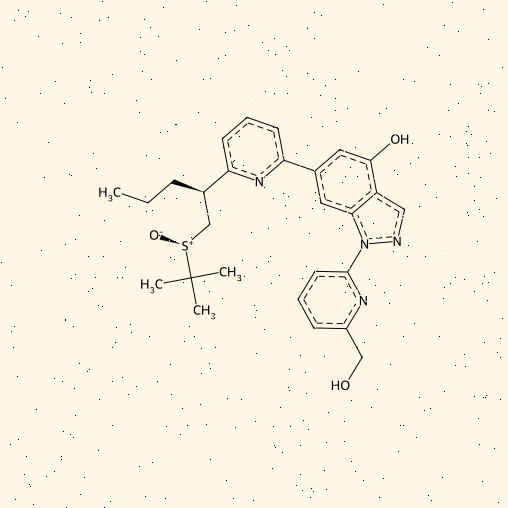 CCC[C@H](C[S@+]([O-])C(C)(C)C)c1cccc(-c2cc(O)c3cnn(-c4cccc(CO)n4)c3c2)n1